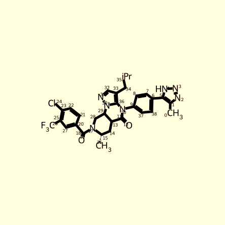 Cc1nn[nH]c1-c1ccc(N2C(=O)C3C[C@H](C)N(C(=O)c4ccc(Cl)c(C(F)(F)F)c4)CC3n3ncc(CC(C)C)c32)cc1